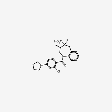 C[C@@H]1CN(C(=O)c2ccc(N3CCCC3)cc2Cl)c2ccccc2CC1(F)C(=O)O